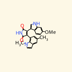 COc1ccc2c(C3=C(c4cc(C)cc5ccn(C)c45)C(=O)NC3=O)c[nH]c2c1